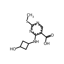 CSc1ncc(C(=O)O)c(NC2CC(O)C2)n1